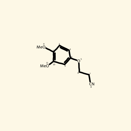 COc1ccc(OCCC#N)cc1OC